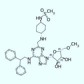 COC[C@H]1O[C@@H](n2cnc3c(NCC(c4ccccc4)c4ccccc4)nc(CN[C@H]4CC[C@H](NS(C)(=O)=O)CC4)nc32)[C@H](O)[C@@H]1O